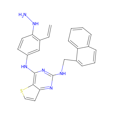 C=Cc1cc(Nc2nc(NCc3cccc4ccccc34)nc3ccsc23)ccc1NN